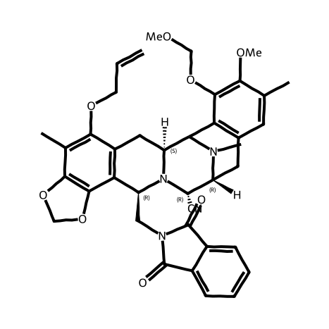 C=CCOc1c(C)c2c(c3c1C[C@H]1C4c5c(cc(C)c(OC)c5OCOC)C[C@H]([C@H](C#N)N1[C@H]3CN1C(=O)c3ccccc3C1=O)N4C)OCO2